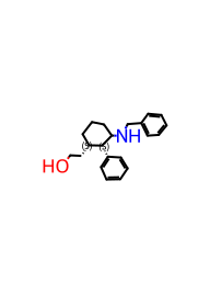 OCC[C@@H]1CCCC(NCc2ccccc2)[C@@H]1c1ccccc1